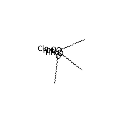 CCCCCCCCCCCCCCCCCCOc1cc(NC(=O)NCc2ccc(Cl)cc2)cc(OCCCCCCCCCCCCCCCCCC)c1OCCCCCCCCCCCCCCCCCC